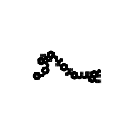 O=C(COc1cccc(C(O)(C(=O)OCC2CCN(Cc3ccccc3)CC2)c2ccccc2)c1)N[C@H]1CC[C@H](NC(=O)c2ccc(CNC[C@H](O)c3ccc(O)c4[nH]c(=O)ccc34)cc2)CC1